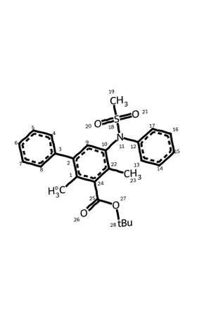 Cc1c(-c2ccccc2)cc(N(c2ccccc2)S(C)(=O)=O)c(C)c1C(=O)OC(C)(C)C